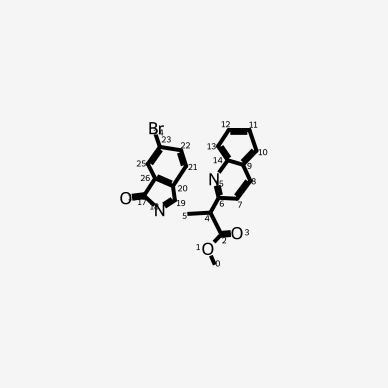 COC(=O)C(C)c1ccc2ccccc2n1.O=C1N=Cc2ccc(Br)cc21